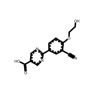 N#Cc1cc(-c2ncc(C(=O)O)cn2)ccc1OCCO